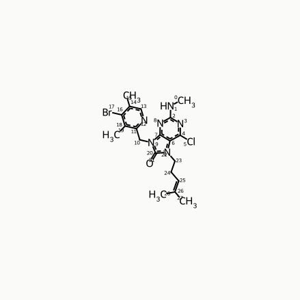 CNc1nc(Cl)c2c(n1)n(Cc1ncc(C)c(Br)c1C)c(=O)n2CCC=C(C)C